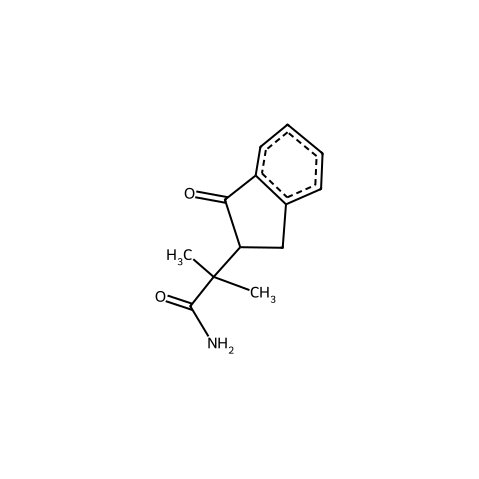 CC(C)(C(N)=O)C1Cc2ccccc2C1=O